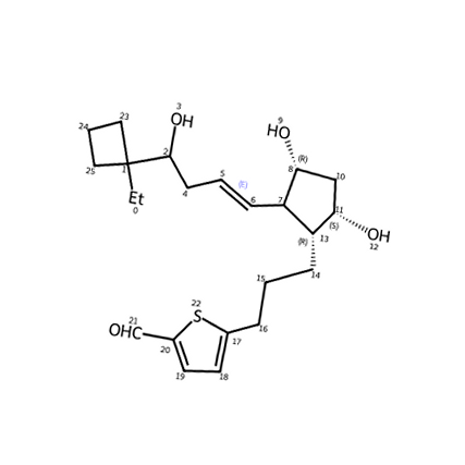 CCC1(C(O)C/C=C/C2[C@H](O)C[C@H](O)[C@@H]2CCCc2ccc(C=O)s2)CCC1